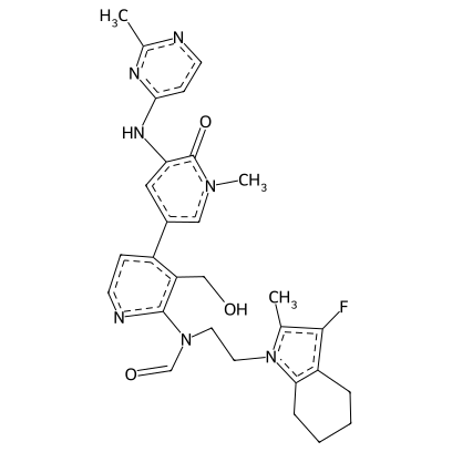 Cc1nccc(Nc2cc(-c3ccnc(N(C=O)CCn4c(C)c(F)c5c4CCCC5)c3CO)cn(C)c2=O)n1